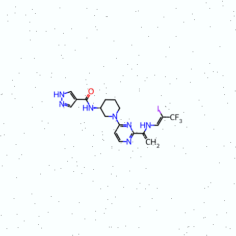 C=C(N/C=C(\I)C(F)(F)F)c1nccc(N2CCC[C@H](NC(=O)c3cn[nH]c3)C2)n1